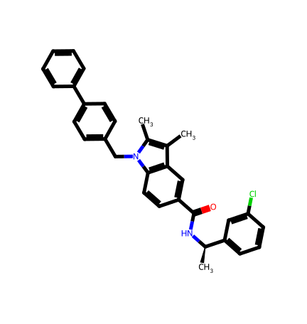 Cc1c(C)n(Cc2ccc(-c3ccccc3)cc2)c2ccc(C(=O)N[C@H](C)c3cccc(Cl)c3)cc12